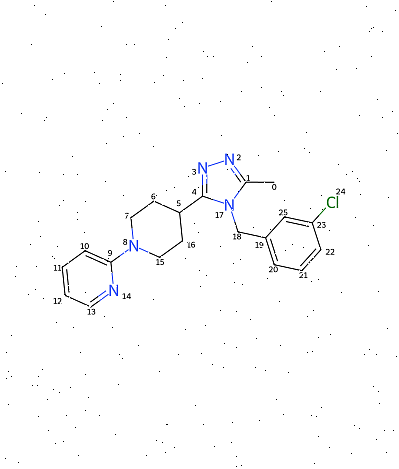 Cc1nnc(C2CCN(c3ccccn3)CC2)n1Cc1cccc(Cl)c1